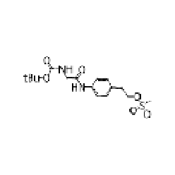 CC(C)(C)OC(=O)NCC(=O)Nc1ccc(CCOS(C)(=O)=O)cc1